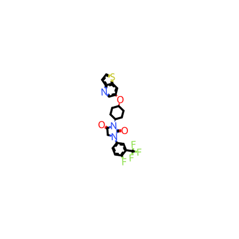 O=C1CN(c2ccc(F)c(C(F)(F)F)c2)C(=O)N1[C@H]1CC[C@H](Oc2cnc3ccsc3c2)CC1